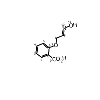 O=C(O)c1ccccc1OCC=NO